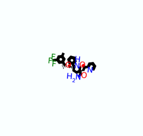 Cc1cc([C@@H](C)OC[C@@]2(c3ccccc3)CC[C@@](CC(=O)c3ccccn3)(C(N)=O)CN2)cc(C(F)(F)F)c1